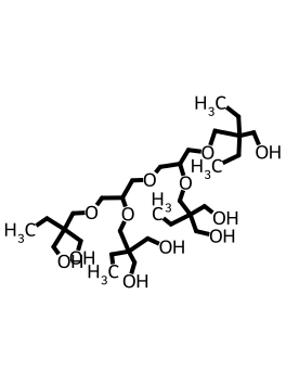 CCC(CC)(CO)COCC(COCC(COCC(CC)(CO)CO)OCC(CC)(CO)CO)OCC(CC)(CO)CO